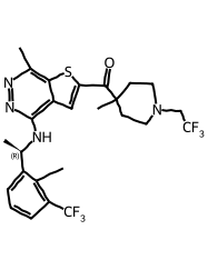 Cc1c([C@@H](C)Nc2nnc(C)c3sc(C(=O)C4(C)CCN(CC(F)(F)F)CC4)cc23)cccc1C(F)(F)F